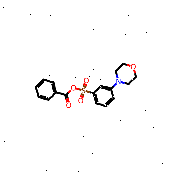 O=C(OS(=O)(=O)c1cccc(N2CCOCC2)c1)c1ccccc1